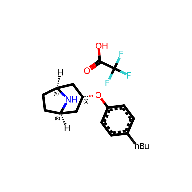 CCCCc1ccc(O[C@@H]2C[C@H]3CC[C@@H](C2)N3)cc1.O=C(O)C(F)(F)F